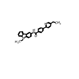 CCc1ccc(-c2ccc(C(=O)Nc3ccc4c(c3)c3ccccc3n4CC)cc2)nc1